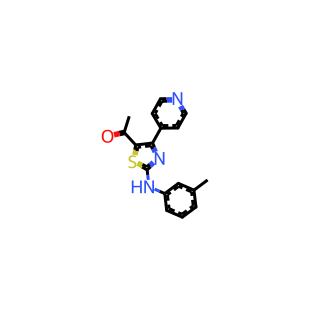 CC(=O)c1sc(Nc2cccc(C)c2)nc1-c1ccncc1